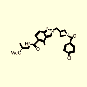 CO[C@H](C)CNC(=O)c1ccc2nn(CC3CN(C(=O)c4ccc(Cl)cc4)C3)cc2c1C